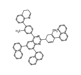 CC1=C(c2cccc3cccnc23)C=CC(c2nc(-c3ccc(-c4cccc5c4N=CCC5)c(C)c3)c3cc(-c4cccc5ccccc45)cc(-c4cccc5ccccc45)c3n2)C1